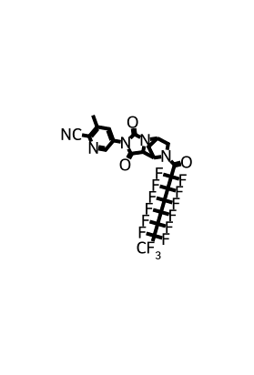 Cc1cc(N2C(=O)C3C4CC(CN4C(=O)C(F)(F)C(F)(F)C(F)(F)C(F)(F)C(F)(F)C(F)(F)C(F)(F)F)N3C2=O)cnc1C#N